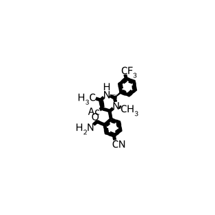 CC(=O)C1=C(C)N[C@@H](c2cccc(C(F)(F)F)c2)N(C)C1c1ccc(C#N)cc1C(N)=O